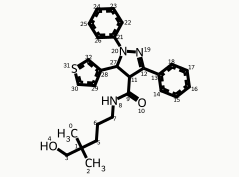 CC(C)(CO)CCCNC(=O)C1C(c2ccccc2)=NN(c2ccccc2)C1c1ccsc1